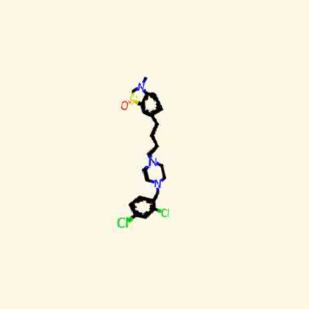 CN1C[S+]([O-])c2cc(CCCCN3CCN(Cc4ccc(Cl)cc4Cl)CC3)ccc21